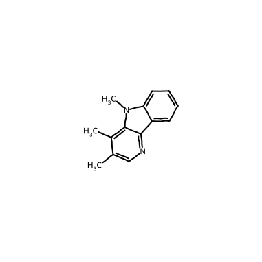 Cc1cnc2c3ccccc3n(C)c2c1C